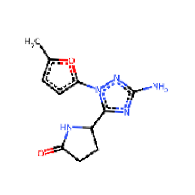 Cc1ccc(-n2nc(N)nc2C2CCC(=O)N2)o1